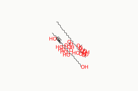 CCCCC(O)CCCCCC(O)C(=O)C(O)C(O)C(O)C(=O)C(O)CCCCCCCCCCO.CCCCCCCCCCCCCCC(CCCCC(CC(=O)C(O)C(O)(OC(C)=O)C(O)OC(C)=O)OC(C)=O)OC(C)=O